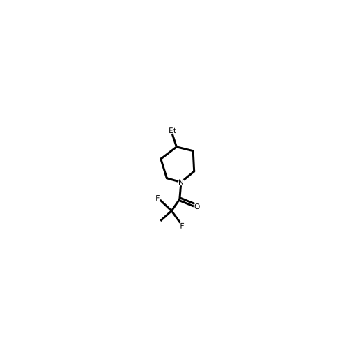 [CH2]CC1CCN(C(=O)C(C)(F)F)CC1